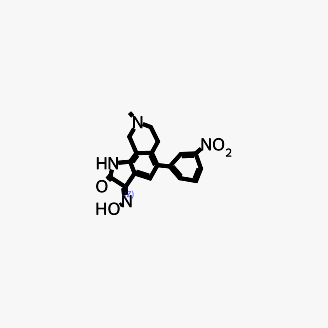 CN1CCc2c(-c3cccc([N+](=O)[O-])c3)cc3c(c2C1)NC(=O)/C3=N\O